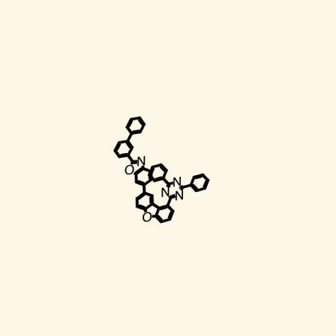 c1ccc(-c2cccc(-c3nc4ccc(-c5ccc6oc7cccc(-c8nc(-c9ccccc9)nc(-c9ccccc9)n8)c7c6c5)cc4o3)c2)cc1